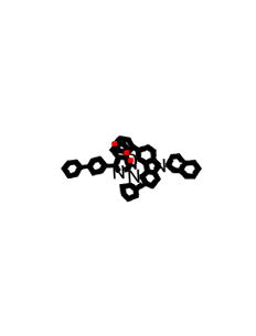 c1ccc(-c2ccc(-c3nc(-n4c5ccccc5c5ccc6c(c7c8oc9ccccc9c8ccc7n6-c6ccc7ccccc7c6)c54)nc4ccccc34)cc2)cc1